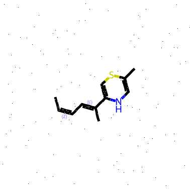 C/C=C\C=C(/C)C1=CSC(C)=CN1